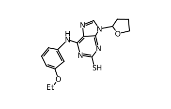 CCOc1cccc(Nc2nc(S)nc3c2ncn3C2CCCO2)c1